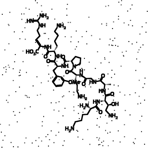 COc1cccc(C[C@H](NC(=O)[C@@H]2CCCN2C(=O)[C@@H](CCCN)NC(=O)CNC(=O)[C@H](C)NC(=O)[C@@H](NC(=O)[C@@H](N)CCCCN)[C@@H](O)CN)C(=O)N[C@@H](CCCCN)C(=O)N/C(=C\CCNC(=N)N)C(=O)O)c1